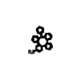 Cc1ccc2c3ccccc3c3ccccc3n(-c3ccccc3)c3ccccc3c2c1